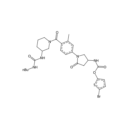 CCCCNC(=O)NC1CCCN(C(=O)c2ccc(N3CC(NC(=O)Oc4ccc(Br)s4)CC3=O)cc2C)C1